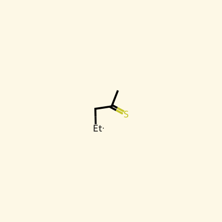 C[CH]CC(C)=S